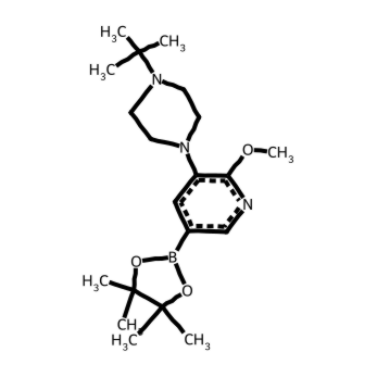 COc1ncc(B2OC(C)(C)C(C)(C)O2)cc1N1CCN(C(C)(C)C)CC1